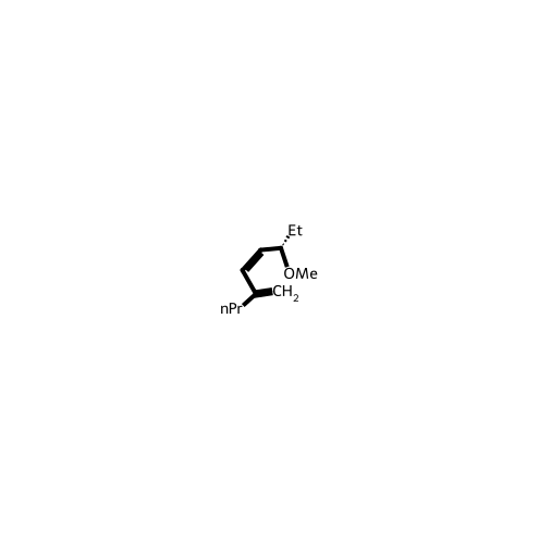 C=C(/C=C\[C@H](CC)OC)CCC